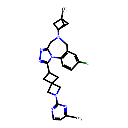 Cc1ccnc(N2CC3(CC(c4nnc5n4-c4ccc(Cl)cc4CN(C46CC(C(F)(F)F)(C4)C6)C5)C3)C2)n1